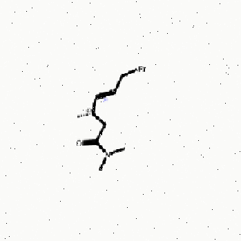 CC(C)C/C=C/[C@@H](C)CC(=O)N(C)C